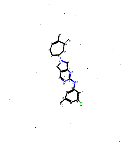 CC1=CCC[C@@H](N2Cc3cnc(Nc4cc(C)cc(Cl)c4)nc3C2)C[C@H]1C